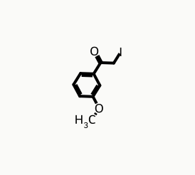 COc1cccc(C(=O)CI)c1